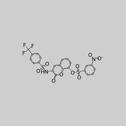 O=c1oc2c(OS(=O)(=O)c3cccc([N+](=O)[O-])c3)cccc2cc1NS(=O)(=O)c1ccc(C(F)(F)F)cc1